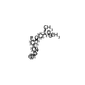 CC#C[C@@H](CC(=O)OC)c1ccc(O[C@@H]2CCc3c(-c4ccc(O[C@@H]5CCOC5)nc4)ccc(F)c32)cc1